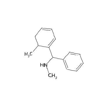 CNC(C1=CC=CCC1C)c1ccccc1